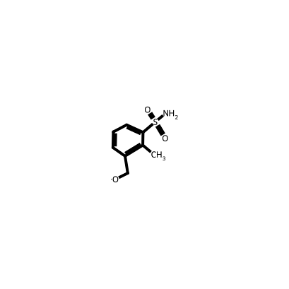 Cc1c(C[O])cccc1S(N)(=O)=O